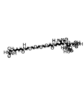 C[C@@H]1NC(=O)N[C@@H]1CCCCCC(=O)NCCOCCOCCOCCOCCC(=O)NCCCc1cn([C@@H]2O[C@H](COP(=O)(O)O)C(OP(=O)(O)O)[C@@H]2O)c(=O)nc1N